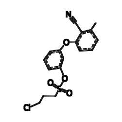 Cc1cccc(Oc2cccc(OS(=O)(=O)CCCCl)c2)c1C#N